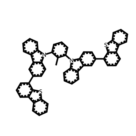 Cc1c(-n2c3ccccc3c3cc(-c4cccc5c4sc4ccccc45)ccc32)cccc1-n1c2ccccc2c2cc(-c3cccc4c3sc3ccccc34)ccc21